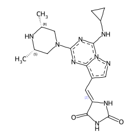 C[C@@H]1CN(c2nc(NC3CC3)n3ncc(/C=C4\NC(=O)NC4=O)c3n2)C[C@H](C)N1